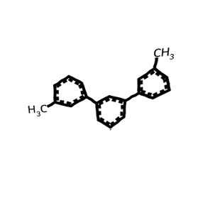 Cc1cccc(-c2c[c]cc(-c3cccc(C)c3)c2)c1